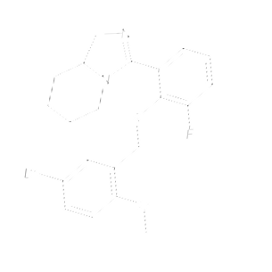 COc1ccc(Br)cc1CSc1c(F)cccc1C1=NCC2CCCCN12